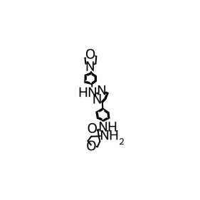 NC1(C(=O)Nc2ccc(-c3ccnc(Nc4ccc(N5CCOCC5)cc4)n3)cc2)CCOCC1